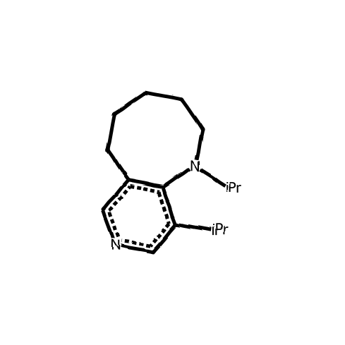 CC(C)c1cncc2c1N(C(C)C)CCCCC2